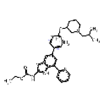 C=C(/N=C\C(=C/N)c1cc(-c2ccccn2)c2[nH]c(NC(=O)OCC)nc2c1)OC1CCCN(CC(C)C)C1